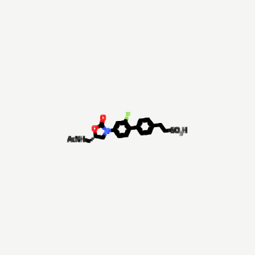 CC(=O)NC[C@H]1CN(c2ccc(-c3ccc(CCS(=O)(=O)O)cc3)c(F)c2)C(=O)O1